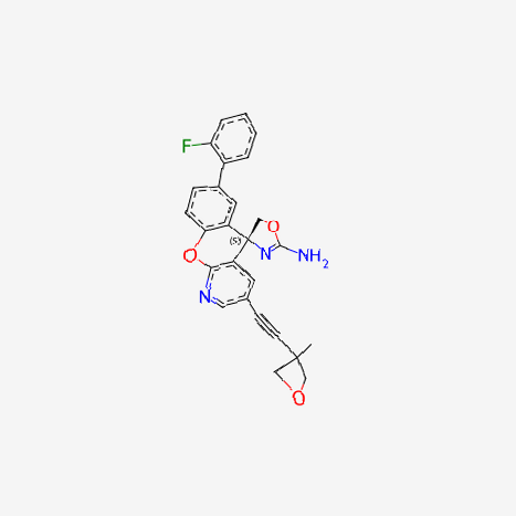 CC1(C#Cc2cnc3c(c2)[C@]2(COC(N)=N2)c2cc(-c4ccccc4F)ccc2O3)COC1